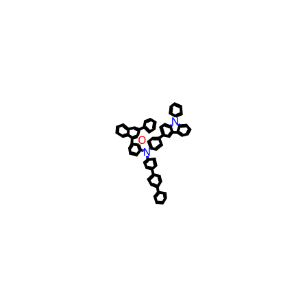 c1ccc(-c2ccc(-c3ccc(N(c4ccc(-c5ccc6c(c5)c5ccccc5n6-c5ccccc5)cc4)c4cccc5c4oc4c(-c6ccccc6)cc6ccccc6c45)cc3)cc2)cc1